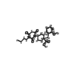 CCCCN1C(=O)CC(=O)N(C2CCC(Cc3cccnc3OC)(C(=O)OC)CC2)C1=O